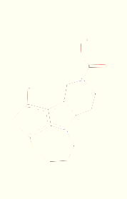 CC(C)(C)OC(=O)N1CCc2c(c3c(Br)ccc4c3n2CCCS4)C1